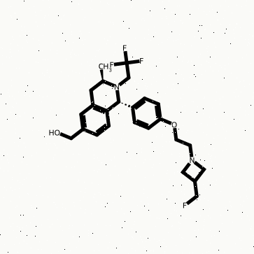 C[C@@H]1Cc2cc(CO)ccc2[C@@H](c2ccc(OCCN3CC(CF)C3)cc2)N1CC(F)(F)F